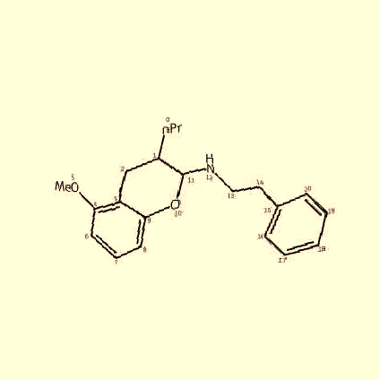 CCCC1Cc2c(OC)cccc2OC1NCCc1ccccc1